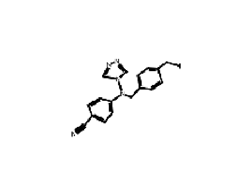 N#Cc1ccc(N(Cc2ccc(CI)cc2)n2cnnc2)cc1